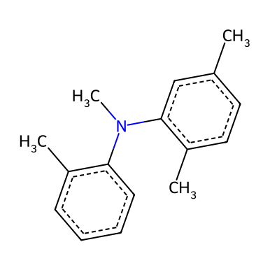 Cc1ccc(C)c(N(C)c2ccccc2C)c1